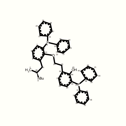 CCCC[C@@H](C)Cc1cccc(P(c2ccccc2)c2ccccc2)c1OCCc1cccc(P(c2ccccc2)c2ccccc2)c1O